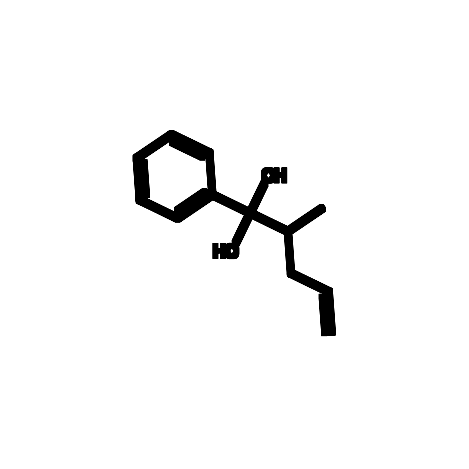 C=CCC(C)C(O)(O)c1ccccc1